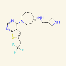 FC(F)(F)Cc1cc2c(N3CCC[C@@H](NCC4CNC4)CC3)ncnc2s1